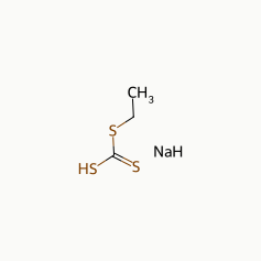 CCSC(=S)S.[NaH]